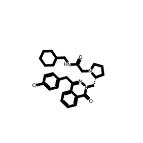 O=C(CN1CCC[C@@H]1Cn1nc(Cc2ccc(Cl)cc2)c2ccccc2c1=O)NCC1CCCCC1